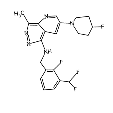 Cc1nnc(NCc2cccc(C(F)F)c2F)c2cc(N3CCC(F)CC3)cnc12